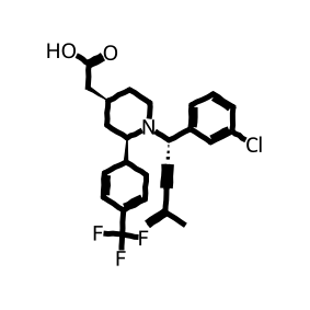 C=C(C)C#C[C@@H](c1cccc(Cl)c1)N1CC[C@H](CC(=O)O)C[C@@H]1C1C=CC(C(F)(F)F)=CC1